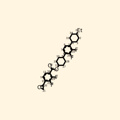 CCC1CCC(c2ccc(C3CCC(OC(=O)c4ccc(C5CO5)c(F)c4F)CC3)c(F)c2F)CC1